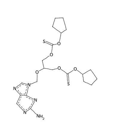 Nc1ncc2ncn(COC(COC(=S)OC3CCCC3)COC(=S)OC3CCCC3)c2n1